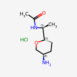 CC(=O)N[C@@H](C)[C@@H]1CC[C@@H](N)CO1.Cl